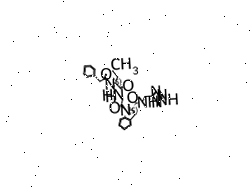 CCC[C@H](NC(=O)Cc1ccccc1)C(=O)NCC(=O)N1c2ccccc2C[C@H]1C(=O)NCc1nn[nH]n1